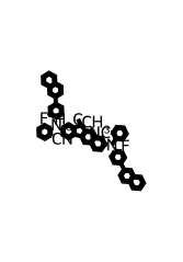 CC1(C)c2cc(N(c3ccc(-c4ccc5ccccc5c4)cc3F)c3ccccc3C#N)ccc2-c2cc3ccc(N(c4ccc(-c5ccc6ccccc6c5)cc4F)c4ccccc4C#N)cc3cc21